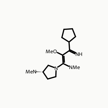 CN/C(=C(/OC)C(=N)C1CCCC1)N1CC[C@H](NC)C1